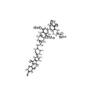 CNC(=O)N1CCc2c(-c3cc(OC)c(CN4CCN(CCC5CCN(c6ccc7c(c6)C(=O)N(c6ccc(F)cc6F)C7=O)CC5)CC4)c(OC)c3)cn(C)c(=O)c2C1